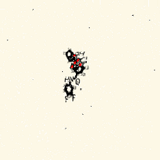 O=C(Nc1ccc(F)c(F)c1)c1ccc(Cl)c(S(=O)(=O)C2CC3CCC(C2)C3(O)C(O)c2ncccn2)c1